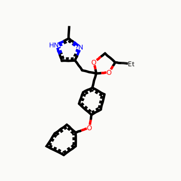 CCC1COC(Cc2c[nH]c(C)n2)(c2ccc(Oc3ccccc3)cc2)O1